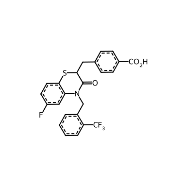 O=C(O)c1ccc(CC2Sc3ccc(F)cc3N(Cc3ccccc3C(F)(F)F)C2=O)cc1